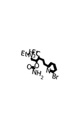 CCN(CC)CC(OC(N)=O)C(C)CCc1cccc(Br)n1